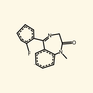 CN1C(=O)CN=C(c2ccccc2F)c2c[c]ccc21